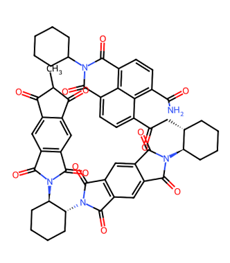 CC1C(=O)c2cc3c(cc2C1=O)C(=O)N([C@@H]1CCCC[C@H]1n1c(=O)c2cc4c(=O)n([C@@H]5CCCC[C@H]5CC(=O)c5ccc6c7c(ccc(C(N)=O)c57)C(=O)N(C5CCCCC5)C6=O)c(=O)c4cc2c1=O)C3=O